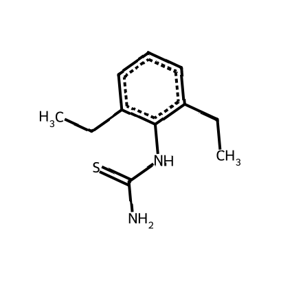 CCc1cccc(CC)c1NC(N)=S